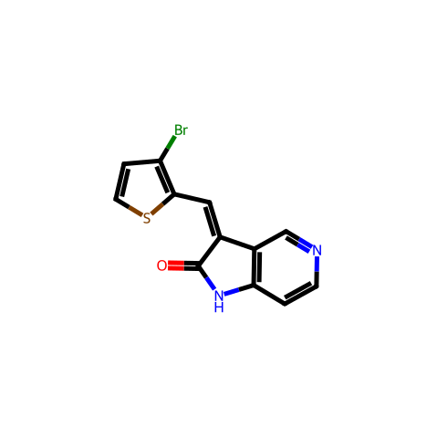 O=C1Nc2ccncc2C1=Cc1sccc1Br